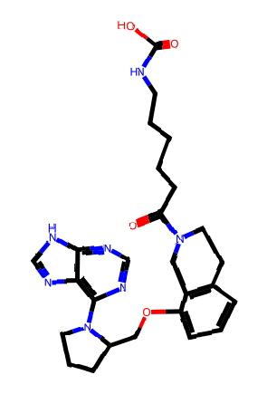 O=C(O)NCCCCCC(=O)N1CCc2cccc(OCC3CCCN3c3ncnc4[nH]cnc34)c2C1